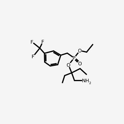 CCOP(=O)(Cc1cccc(C(F)(F)F)c1)OC(CC)(CC)CN